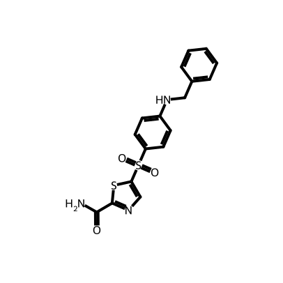 NC(=O)c1ncc(S(=O)(=O)c2ccc(NCc3ccccc3)cc2)s1